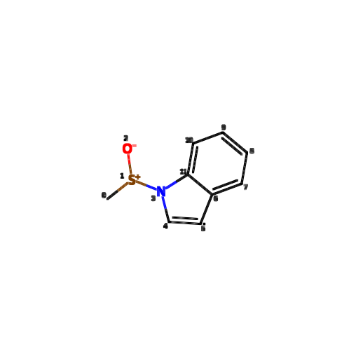 C[S+]([O-])n1c[c]c2ccccc21